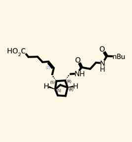 CCCCC(=O)NCCC(=O)NC[C@@H]1[C@@H]2CC[C@@H](C2)[C@@H]1C/C=C\CCCC(=O)O